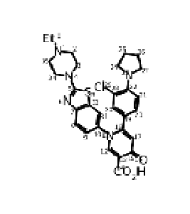 CCN1CCN(c2nc3ccc(-n4cc(C(=O)O)c(=O)cc4-c4ccc(N5CCCC5)c(Cl)c4)cc3s2)CC1